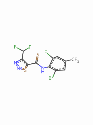 Fc1cc(C(F)(F)F)cc(Br)c1NC(=S)c1snnc1C(F)F